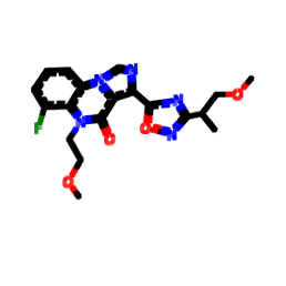 COCCn1c(=O)c2c(-c3nc(C(C)COC)no3)ncn2c2cccc(F)c21